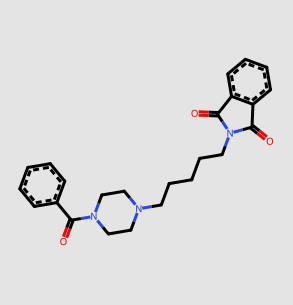 O=C(c1ccccc1)N1CCN(CCCCCN2C(=O)c3ccccc3C2=O)CC1